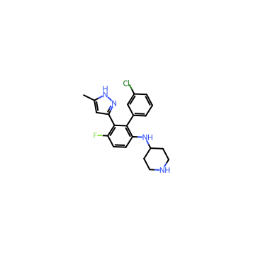 Cc1cc(-c2c(F)ccc(NC3CCNCC3)c2-c2cccc(Cl)c2)n[nH]1